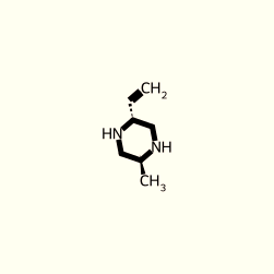 C=C[C@@H]1CN[C@@H](C)CN1